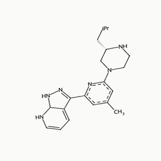 Cc1cc(C2=NNC3NC=CC=C23)nc(N2CCN[C@@H](CC(C)C)C2)c1